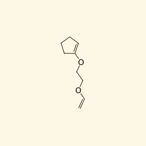 C=COCCOC1=CCCC1